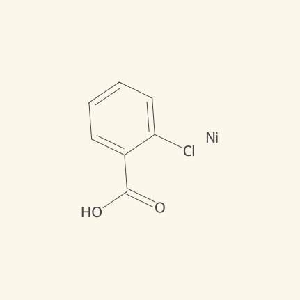 O=C(O)c1ccccc1Cl.[Ni]